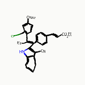 CCOC(=O)/C=C/c1ccc(/C(=C(/CC)c2ccc(OC)cc2Cl)c2[nH]c3ccccc3c2C#N)cc1